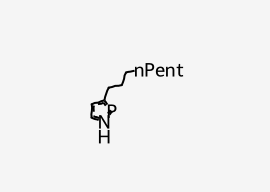 CCCCCCCCc1cc[nH]p1